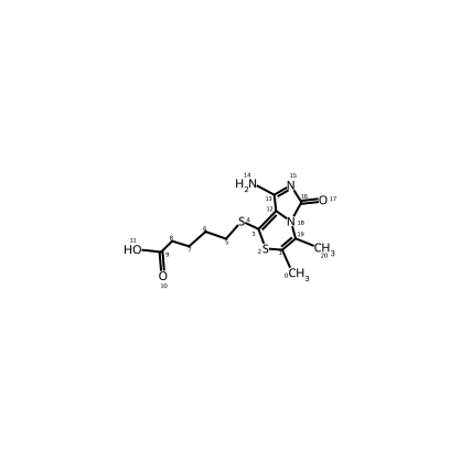 Cc1sc(SCCCCC(=O)O)c2c(N)nc(=O)n-2c1C